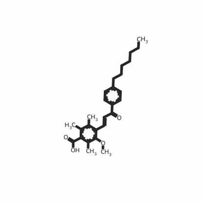 CCCCCCCc1ccc(C(=O)C=Cc2c(C)c(C)c(C(=O)O)c(C)c2OC)cc1